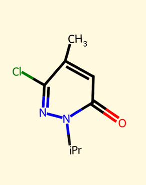 Cc1cc(=O)n(C(C)C)nc1Cl